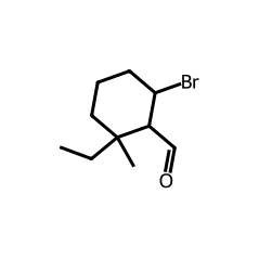 CCC1(C)CCCC(Br)C1C=O